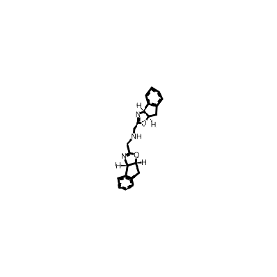 c1ccc2c(c1)C[C@H]1OC(CNCC3=N[C@H]4c5ccccc5C[C@H]4O3)=N[C@@H]21